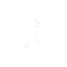 Cn1nccc1C(=O)Nc1cncc(-c2nsc(Nc3ccc4[nH]ncc4c3Cl)n2)c1